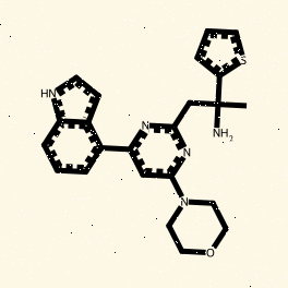 CC(N)(Cc1nc(-c2cccc3[nH]ccc23)cc(N2CCOCC2)n1)c1cccs1